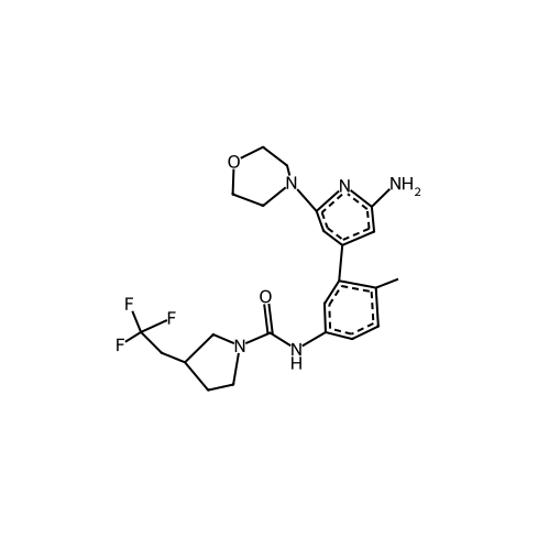 Cc1ccc(NC(=O)N2CCC(CC(F)(F)F)C2)cc1-c1cc(N)nc(N2CCOCC2)c1